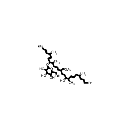 CCC(C)C/C=C/C(C)/C=C/C(OC1OC(CO)C(O)C(O)C1O)C(C)CCCC(CCC(O)C(C)/C=C/CC(C)CCCC(C)C)COC(C)=O